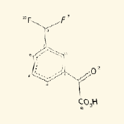 O=C(O)C(=O)c1cccc(C(F)F)c1